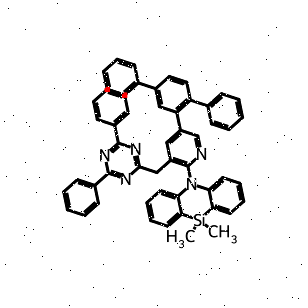 C[Si]1(C)c2ccccc2N(c2ncc(-c3cc(-c4ccccc4)ccc3-c3ccccc3)cc2Cc2nc(-c3ccccc3)nc(-c3ccccc3)n2)c2ccccc21